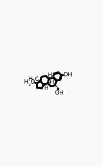 CC1CC[C@H]2[C@@H]3C[C@@H](CO)c4cc(O)ccc4[C@H]3CC[C@]12C